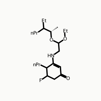 CCCC1C(NCC(OCC)O[C@@H](C)C(CC)CCC)=CC(=O)CC1F